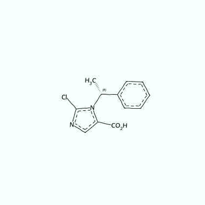 C[C@H](c1ccccc1)n1c(C(=O)O)cnc1Cl